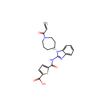 C=CC(=O)N1CCC[C@@H](n2c(NC(=O)c3ccc(C(=O)O)s3)nc3ccccc32)CC1